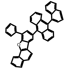 c1ccc(-c2cc(-c3c4ccccc4c(-c4cccc5ccccc45)c4ccccc34)cc3c2oc2c4ccccc4ccc32)cc1